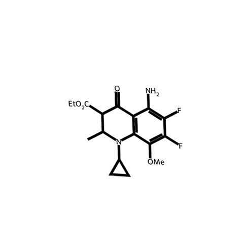 CCOC(=O)C1C(=O)c2c(N)c(F)c(F)c(OC)c2N(C2CC2)C1C